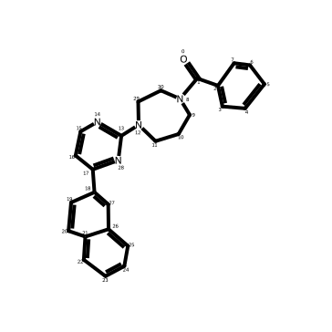 O=C(c1ccccc1)N1CCCN(c2nccc(-c3ccc4ccccc4c3)n2)CC1